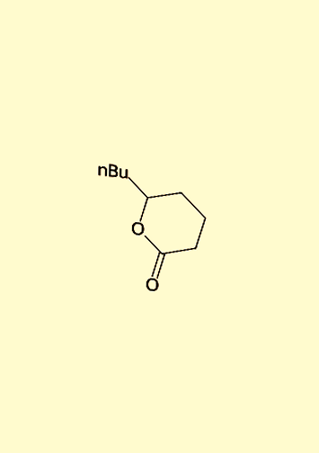 CCCCC1CCCC(=O)O1